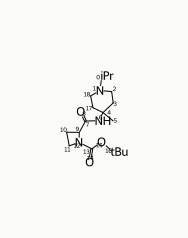 CC(C)N1CCC(C)(NC(=O)C2CCN2C(=O)OC(C)(C)C)CC1